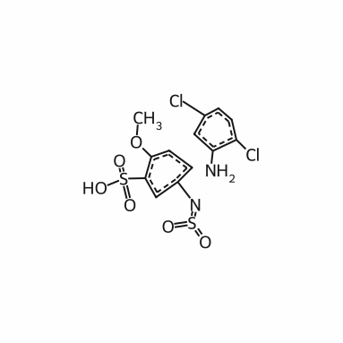 COc1ccc(N=S(=O)=O)cc1S(=O)(=O)O.Nc1cc(Cl)ccc1Cl